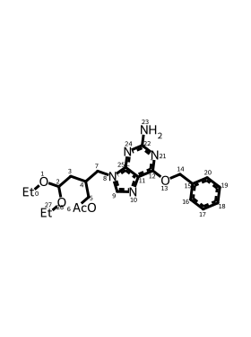 CCOC(CC(COC(C)=O)Cn1cnc2c(OCc3ccccc3)nc(N)nc21)OCC